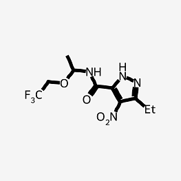 CCc1n[nH]c(C(=O)NC(C)OCC(F)(F)F)c1[N+](=O)[O-]